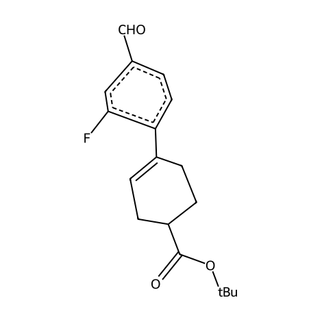 CC(C)(C)OC(=O)C1CC=C(c2ccc(C=O)cc2F)CC1